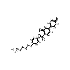 CCCCCCc1ccc(OC(=O)c2ccc(-c3ccc(F)cc3)cc2F)cc1